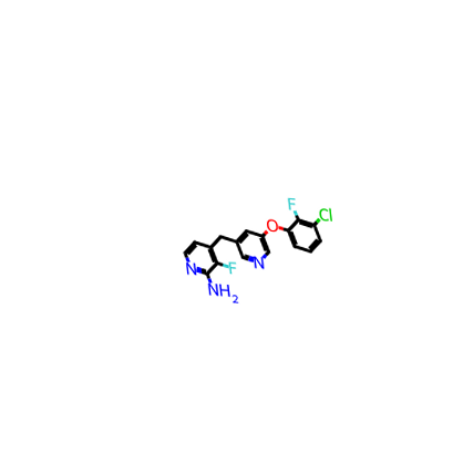 Nc1nccc(Cc2cncc(Oc3cccc(Cl)c3F)c2)c1F